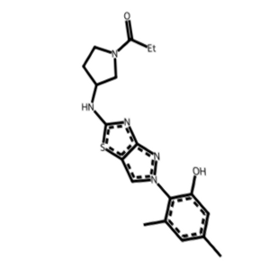 CCC(=O)N1CCC(Nc2nc3nn(-c4c(C)cc(C)cc4O)cc3s2)C1